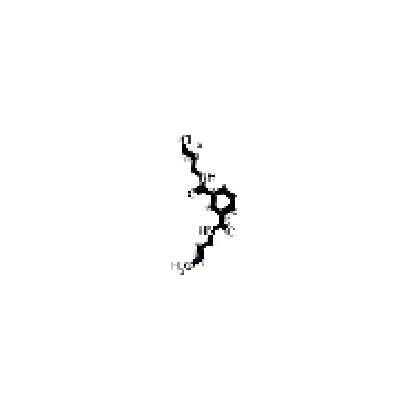 C/C=C/CNC(=O)c1cccc(C(=O)NC/C=C/C)c1